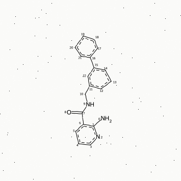 Nc1ncccc1C(=O)NCc1cccc(-c2ccccc2)c1